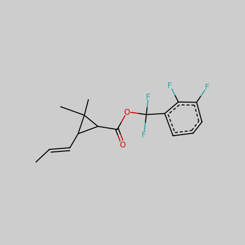 CC=CC1C(C(=O)OC(F)(F)c2cccc(F)c2F)C1(C)C